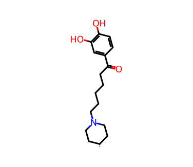 O=C(CCCCCN1CC[CH]CC1)c1ccc(O)c(O)c1